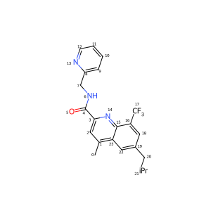 Cc1cc(C(=O)NCc2ccccn2)nc2c(C(F)(F)F)cc(CC(C)C)cc12